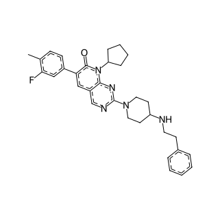 Cc1ccc(-c2cc3cnc(N4CCC(NCCc5ccccc5)CC4)nc3n(C3CCCC3)c2=O)cc1F